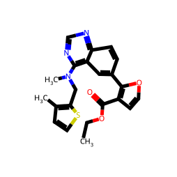 CCOC(=O)c1ccoc1-c1ccc2ncnc(N(C)Cc3sccc3C)c2c1